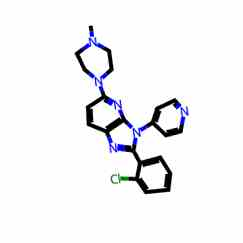 CN1CCN(c2ccc3nc(-c4ccccc4Cl)n(-c4ccncc4)c3n2)CC1